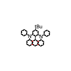 CC(C)(C)c1cc(N(c2ccccc2)c2ccccc2)c(-c2ccccc2)c(N(c2ccccc2)c2ccccc2)c1